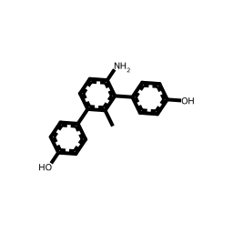 Cc1c(-c2ccc(O)cc2)ccc(N)c1-c1ccc(O)cc1